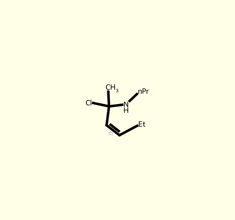 CC/C=C\C(C)(Cl)NCCC